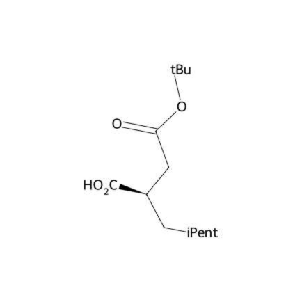 CCCC(C)C[C@H](CC(=O)OC(C)(C)C)C(=O)O